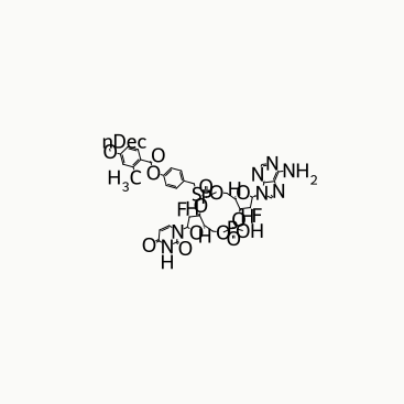 CCCCCCCCCCOc1ccc(C(=O)Oc2ccc(CSP3(=O)OC[C@H]4O[C@@H](n5cnc6c(N)ncnc65)[C@H](F)[C@@H]4OP(=O)(O)OC[C@H]4OC(n5ccc(=O)[nH]c5=O)[C@H](F)[C@@H]4O3)cc2)c(C)c1